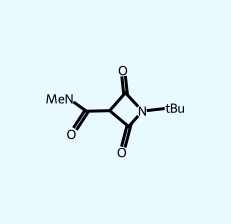 CNC(=O)C1C(=O)N(C(C)(C)C)C1=O